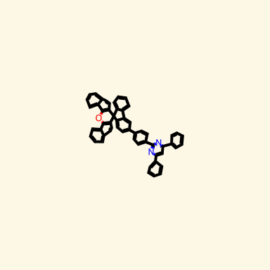 c1ccc(-c2cc(-c3ccccc3)nc(-c3ccc(-c4ccc5c(c4)-c4ccccc4C54c5ccc6ccccc6c5Oc5c4ccc4ccccc54)cc3)n2)cc1